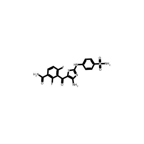 NC(=O)c1ccc(F)c(C(=O)c2sc(Nc3ccc(S(N)(=O)=O)cc3)nc2N)c1F